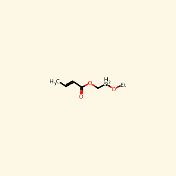 CC=CC(=O)OC[SiH2]OCC